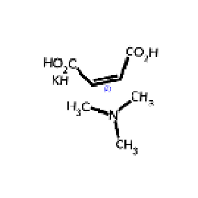 CN(C)C.O=C(O)/C=C\C(=O)O.[KH]